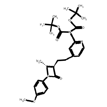 COc1ccc(N2C(=O)[C@H](CCc3ccnc(N(C(=O)OC(C)(C)C)C(=O)OC(C)(C)C)c3)[C@H]2C)cc1